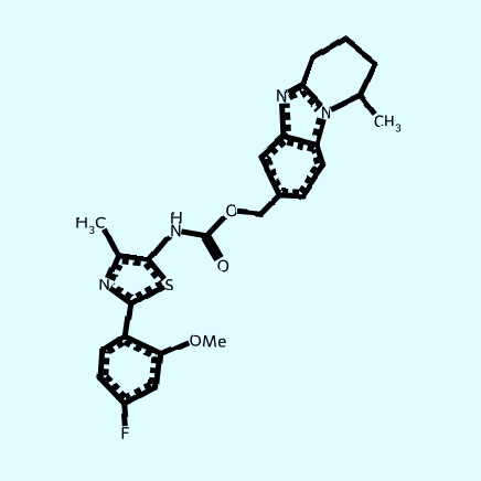 COc1cc(F)ccc1-c1nc(C)c(NC(=O)OCc2ccc3c(c2)nc2n3C(C)CCC2)s1